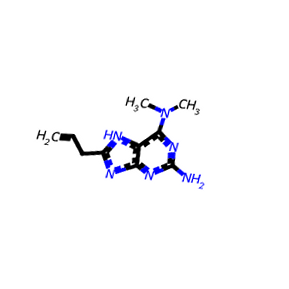 C=CCc1nc2nc(N)nc(N(C)C)c2[nH]1